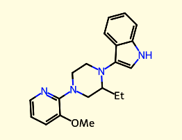 CCC1CN(c2ncccc2OC)CCN1c1c[nH]c2ccccc12